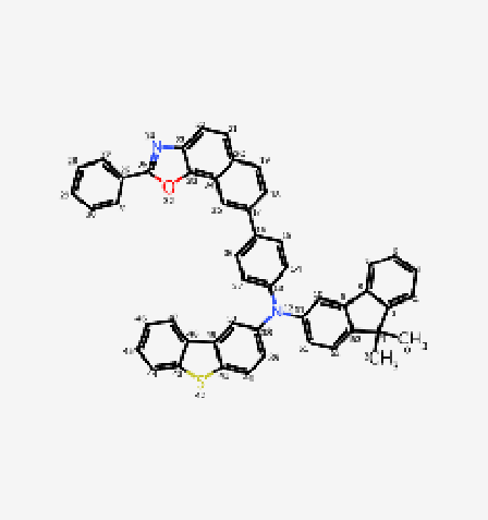 CC1(C)c2ccccc2-c2cc(N(c3ccc(-c4ccc5ccc6nc(-c7ccccc7)oc6c5c4)cc3)c3ccc4sc5ccccc5c4c3)ccc21